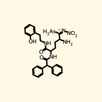 NC(CCC(NC(=O)C(c1ccccc1)c1ccccc1)C(=O)NCCc1ccccc1O)/C([AsH2])=N\[N+](=O)[O-]